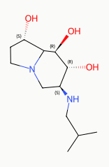 CC(C)CN[C@H]1CN2CC[C@H](O)C2[C@@H](O)[C@@H]1O